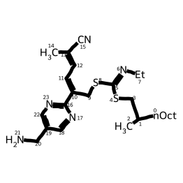 CCCCCCCCC(C)CS/C(=N\CC)SC/C(=C\C=C(/C)C#N)c1ncc(CN)cn1